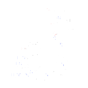 CC(C)C(C(=O)N1CCCC1C=O)c1cc(N2CCC(CN3CCC(CN4CCC(n5nc(N)c(N)c5/C=C(\N)c5ccccc5O)CC4)CC3)CC2)no1